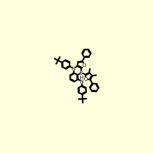 Cc1c(B2c3oc(-c4ccccc4)cc3N(c3ccc(C(C)(C)C)cc3)c3cccc(Nc4ccc(C(C)(C)C)cc4)c32)oc(-c2ccccc2)c1C